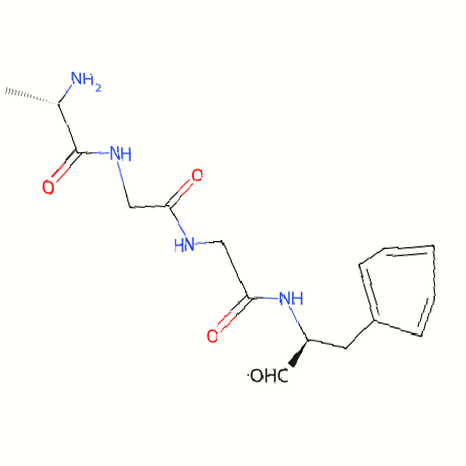 C[C@H](N)C(=O)NCC(=O)NCC(=O)N[C@H]([C]=O)Cc1ccccc1